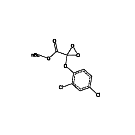 CCCCOC(=O)C1(Oc2ccc(Cl)cc2Cl)OO1